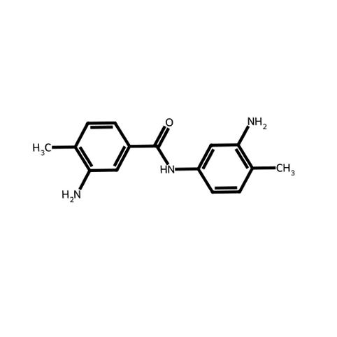 Cc1ccc(NC(=O)c2ccc(C)c(N)c2)cc1N